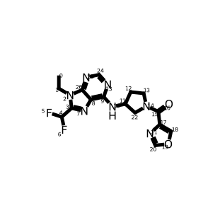 CCn1c(C(F)F)nc2c(NC3CCN(C(=O)c4cocn4)C3)ncnc21